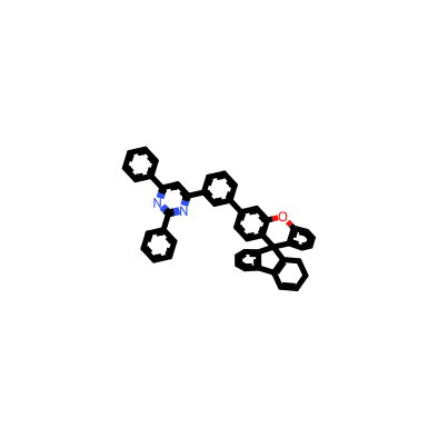 C1=CC2=C(CC1)C1(c3ccccc3Oc3cc(-c4cccc(-c5cc(-c6ccccc6)nc(-c6ccccc6)n5)c4)ccc31)c1ccccc12